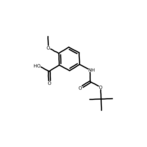 COc1ccc(NC(=O)OC(C)(C)C)cc1C(=O)O